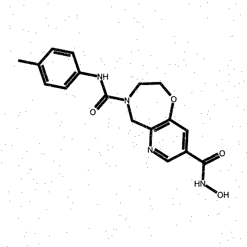 Cc1ccc(NC(=O)N2CCOc3cc(C(=O)NO)cnc3C2)cc1